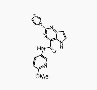 COc1ccc(NC(=O)c2nc(-n3ccnc3)nc3cc[nH]c23)cn1